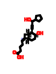 O=C(O)CCC/C=C1/C[C@@H]2[C@@H](C#CC(O)C3CCCC3)[C@H](O)CC[C@H]12